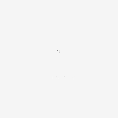 CC(C)(CN1CCCCC1)C([NH])=O